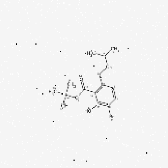 CC(C)OCc1ccc(Br)c(O)c1C(=O)OC(C)(C)C